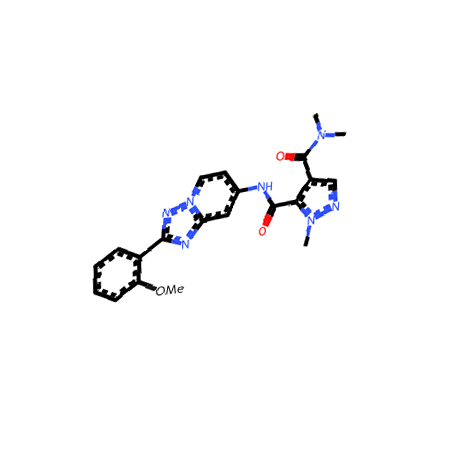 COc1ccccc1-c1nc2cc(NC(=O)c3c(C(=O)N(C)C)cnn3C)ccn2n1